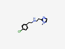 Cn1ccnc1CCNCCc1ccc(Cl)cc1